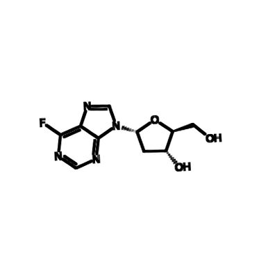 OC[C@@H]1O[C@@H](n2cnc3c(F)ncnc32)C[C@H]1O